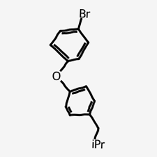 CC(C)Cc1ccc(Oc2ccc(Br)cc2)cc1